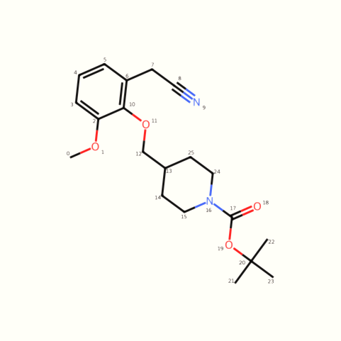 COc1cccc(CC#N)c1OCC1CCN(C(=O)OC(C)(C)C)CC1